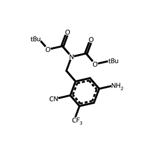 [C-]#[N+]c1c(CN(C(=O)OC(C)(C)C)C(=O)OC(C)(C)C)cc(N)cc1C(F)(F)F